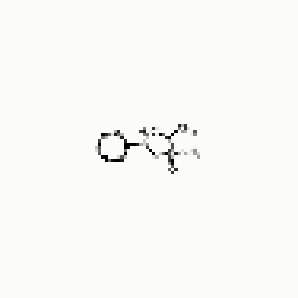 CC(C)[SH](C)(=O)CCc1ccccc1